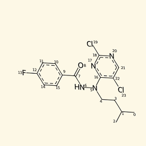 CC(C)CCN(NC(=O)c1ccc(F)cc1)c1nc(Cl)ncc1Cl